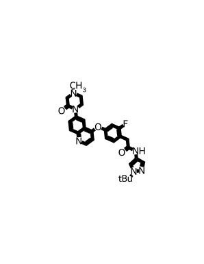 CN1CCN(c2ccc3nccc(Oc4ccc(CC(=O)Nc5cnn(C(C)(C)C)c5)c(F)c4)c3c2)C(=O)C1